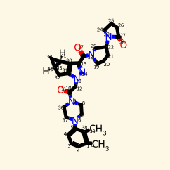 Cc1cccc(N2CCN(C(=O)Cn3nc(C(=O)N4CCCC(N5CCCC5=O)C4)c4c3C[C@H]3C[C@@H]43)CC2)c1C